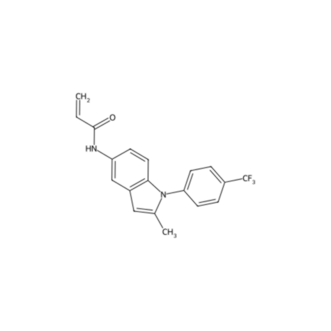 C=CC(=O)Nc1ccc2c(c1)cc(C)n2-c1ccc(C(F)(F)F)cc1